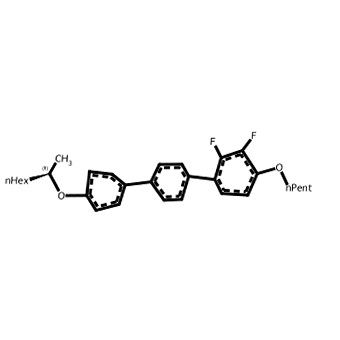 CCCCCC[C@@H](C)Oc1ccc(-c2ccc(-c3ccc(OCCCCC)c(F)c3F)cc2)cc1